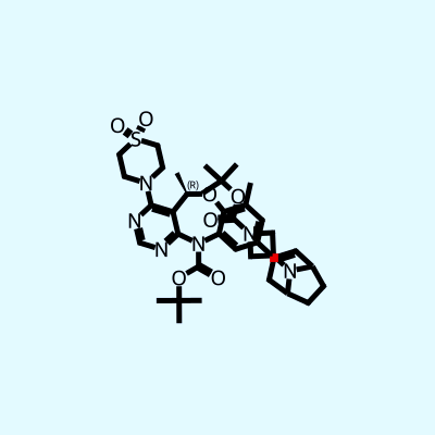 Cc1cc(C2=CC3CCC(C2)N3C2CN(C(=O)OC(C)(C)C)C2)cc2c1O[C@H](C)c1c(N3CCS(=O)(=O)CC3)ncnc1N2C(=O)OC(C)(C)C